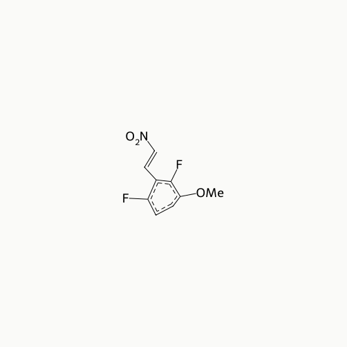 COc1ccc(F)c(C=C[N+](=O)[O-])c1F